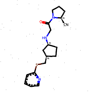 N#C[C@@H]1CCCN1C(=O)CN[C@H]1CC[C@@H](CSc2ccccn2)C1